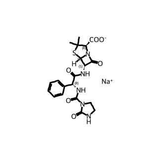 CC1(C)S[C@H]2[C@@H](NC(=O)[C@H](NC(=O)N3CCNC3=O)c3ccccc3)C(=O)N2[C@@H]1C(=O)[O-].[Na+]